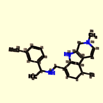 CCC1CC=C(CNC(C)c2cccc(OC)c2)c2[nH]c3c(c21)C=CN(C)C3